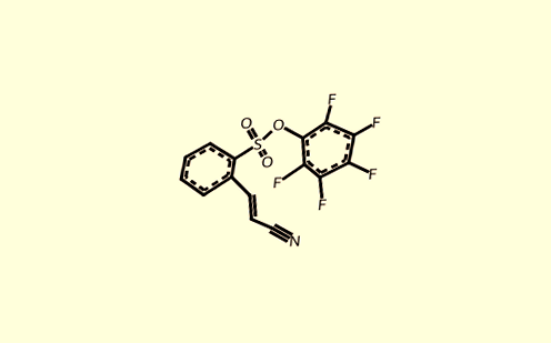 N#C/C=C/c1ccccc1S(=O)(=O)Oc1c(F)c(F)c(F)c(F)c1F